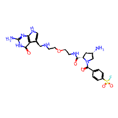 Nc1nc2[nH]cc(CNCCOCCNC(=O)[C@@H]3C[C@H](N)CN3C(=O)c3ccc(S(=O)(=O)F)cc3)c2c(=O)[nH]1